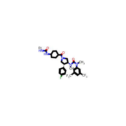 CCNC(=O)NC1CCC(C(=O)N2C[C@@H](N(C)C(=O)N(C)c3cc(C(F)(F)F)cc(C(F)(F)F)c3)[C@H](c3ccc(F)cc3)C2)CC1